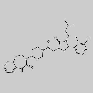 Cc1c(F)cccc1C1SC(CC(=O)N2CCC(N3CCc4ccccc4NC3=O)CC2)C(=O)N1CCC(C)C